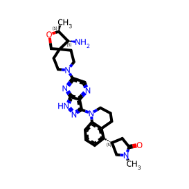 C[C@@H]1OCC2(CCN(c3cnc4c(N5CCCc6c([C@@H]7CC(=O)N(C)C7)cccc65)n[nH]c4n3)CC2)[C@@H]1N